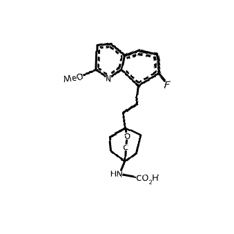 COc1ccc2ccc(F)c(CCC34CCC(NC(=O)O)(CC3)CO4)c2n1